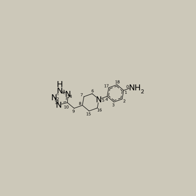 Nc1ccc(N2CCC(Cc3nn[nH]n3)CC2)cc1